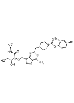 Nc1nc(CC2CCN(C(=O)Oc3ccc(Br)cc3Br)CC2)nc2c1ncn2CO[C@H](C(=O)NC1CC1)C(O)CO